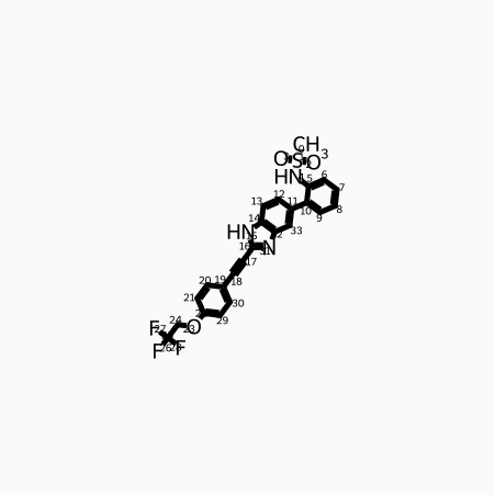 CS(=O)(=O)Nc1ccccc1-c1ccc2[nH]c(C#Cc3ccc(OCC(F)(F)F)cc3)nc2c1